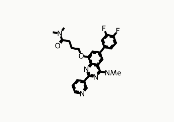 CNc1nc(-c2cccnc2)nc2c(OCCCC(=O)N(C)C)cc(-c3ccc(F)c(F)c3)cc12